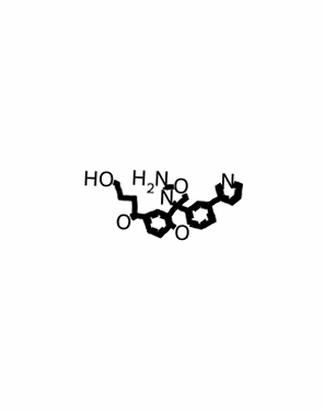 NC1=NC2(CO1)c1cc(C(=O)CCCO)ccc1Oc1ccc(-c3cccnc3)cc12